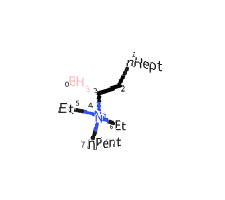 B.CCCCCCCCC[N+](CC)(CC)CCCCC